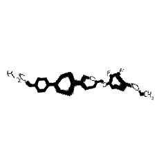 C=CC1CCC(C2CCC(C3CCC(COc4ccc(OCC)c(F)c4F)OC3)CC2)CC1